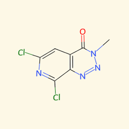 Cn1nnc2c(Cl)nc(Cl)cc2c1=O